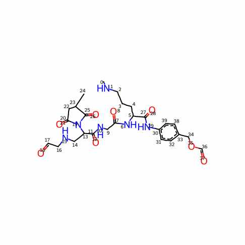 CNCCCC(NC(=O)CNC(=O)C(CNCC=O)N1C(=O)CC(C)C1=O)C(=O)Nc1ccc(COC=O)cc1